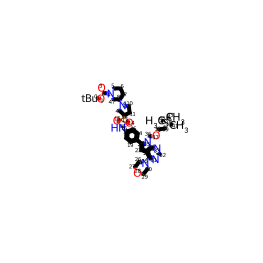 CC(C)(C)OC(=O)N1CCCC(N2CCC(S(=O)(=O)Nc3ccc(-c4cc5c(N6CCOCC6)ncnc5n4COCC[Si](C)(C)C)cc3)C2)C1